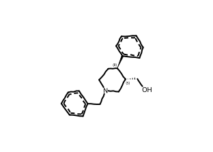 OC[C@@H]1CN(Cc2ccccc2)CC[C@H]1c1ccccc1